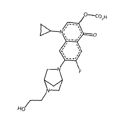 O=C(O)Oc1cn(C2CC2)c2cc(N3CC4CC3CN4CCO)c(F)cc2c1=O